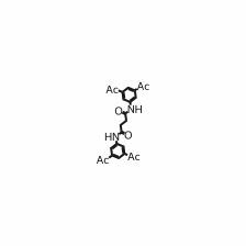 CC(=O)c1cc(NC(=O)CCC(=O)Nc2cc(C(C)=O)cc(C(C)=O)c2)cc(C(C)=O)c1